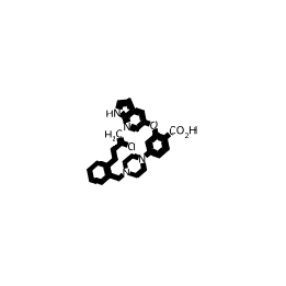 C=C(Cl)CCC1=C(CN2CCN(c3ccc(C(=O)O)c(Oc4cnc5[nH]ccc5c4)c3)CC2)CCCC1